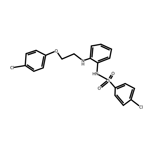 O=S(=O)(Nc1ccccc1NCCOc1ccc(Cl)cc1)c1ccc(Cl)cc1